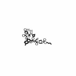 CCCCOC(=O)N1CCN(C(=O)[C@H](CF)NC(=O)c2cc(OCC(=O)N3C[C@@H](O)C[C@H]3C(=O)NC3CCC3)c3ccc(C)cc3n2)CC1